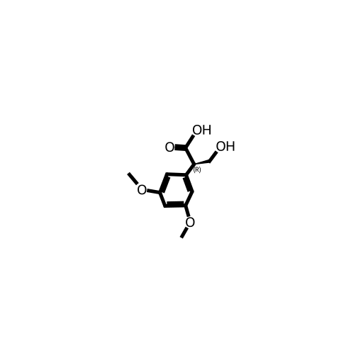 COc1cc(OC)cc([C@H](CO)C(=O)O)c1